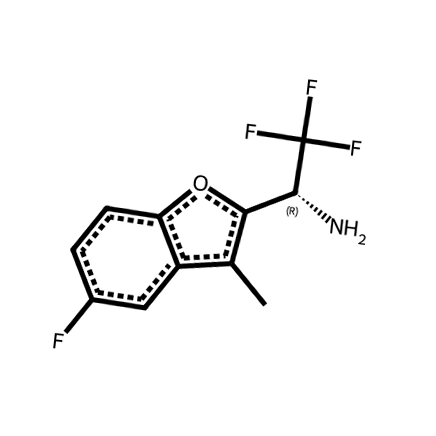 Cc1c([C@@H](N)C(F)(F)F)oc2ccc(F)cc12